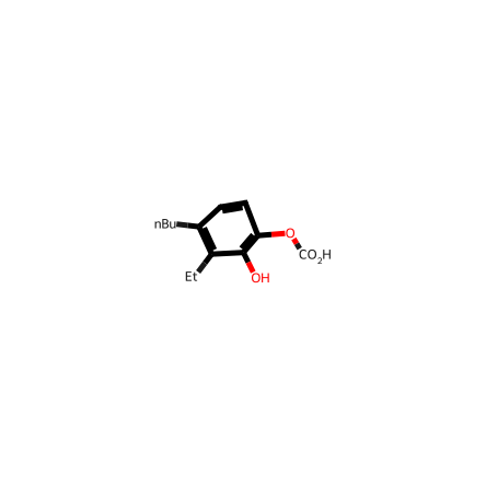 CCCCc1ccc(OC(=O)O)c(O)c1CC